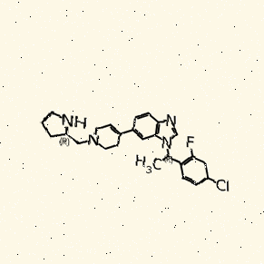 C[C@H](C1=C(F)CC(Cl)C=C1)n1cnc2ccc(C3=CCN(C[C@H]4CCCN4)CC3)cc21